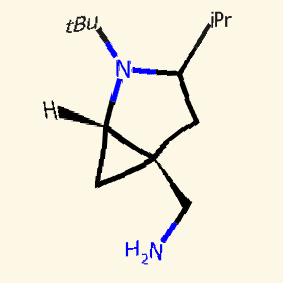 CC(C)C1C[C@]2(CN)C[C@@H]2N1C(C)(C)C